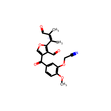 B/C(=C(\C)C=O)c1occ(C(=O)c2ccc(OC)c(OCC#N)c2)c1C=O